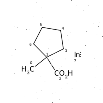 CC1(C(=O)O)CCCC1.[In]